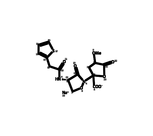 COC1CC(C(=O)[O-])(N2OC[C@H](NC(=O)Cc3cccs3)C2=O)OC1=O.[Na+]